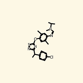 Cc1cc(Oc2nc(C(C)c3ccc(Cl)cc3)ns2)c(C)cc1/N=C\N(C)C(C)C